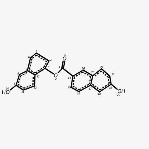 O=C(Oc1cccc2cc(O)ccc12)c1ccc2cc(O)ccc2c1